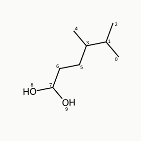 CC(C)C(C)CCC(O)O